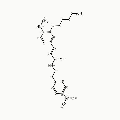 CCCCCOc1cc(C=CC(=O)NCCc2ccc([N+](=O)[O-])cc2)ccc1NC